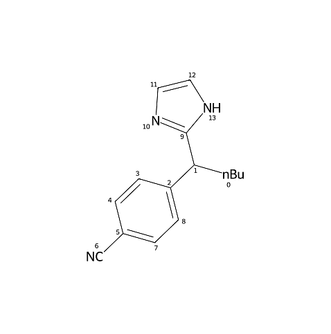 CCCCC(c1ccc(C#N)cc1)c1ncc[nH]1